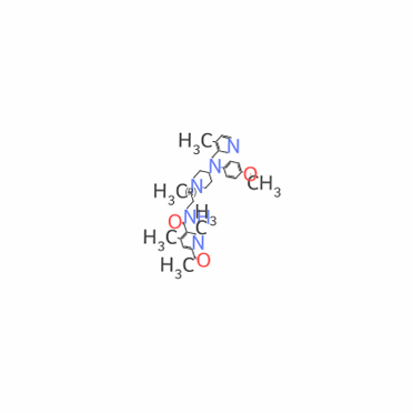 COc1ccc(N(Cc2cnccc2C)C2CCN([C@H](C)CCNC(=O)c3c(C)cc(C(C)=O)nc3C)CC2)cc1